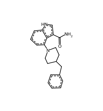 NC(=O)c1c[nH]c2cccc(N3CCC(Cc4ccccc4)CC3)c12